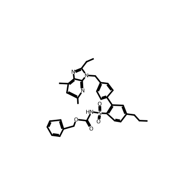 CCCc1ccc(S(=O)(=O)NC(=O)OCc2ccccc2)c(-c2ccc(Cn3c(CC)nc4c(C)cc(C)nc43)cc2)c1